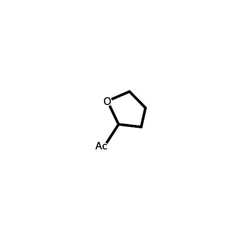 CC(=O)C1CCCO1